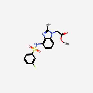 CCCc1nc2c(NS(=O)(=O)c3cccc(F)c3)cccc2n1CC(=O)OC(C)(C)C